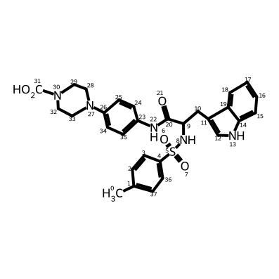 Cc1ccc(S(=O)(=O)NC(Cc2c[nH]c3ccccc23)C(=O)Nc2ccc(N3CCN(C(=O)O)CC3)cc2)cc1